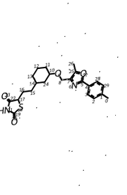 Cc1ccc(-c2nc(COC3CCCC(CCC4SC(=O)NC4=O)C3)c(C)o2)cc1